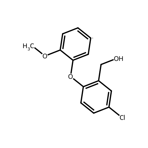 COc1cc[c]cc1Oc1ccc(Cl)cc1CO